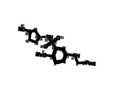 CCCC(C)CNc1ccc(OC)c(S(=O)(=O)N[C@@H]2CCN(C#N)C2)c1